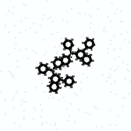 c1ccc(-c2cc(N(c3ccccc3)c3ccc4cc(N(c5ccccc5)c5cc(-c6ccccc6)c6ccccc6c5)ccc4c3)cc3ccccc23)cc1